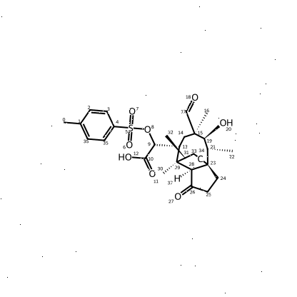 Cc1ccc(S(=O)(=O)OC(C(=O)O)[C@@H]2C[C@@](C)(C=O)[C@@H](O)[C@H](C)[C@]34CCC(=O)[C@H]3[C@]2(C)[C@H](C)CC4)cc1